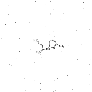 C=CSC(=C)Nc1cccc(C)n1